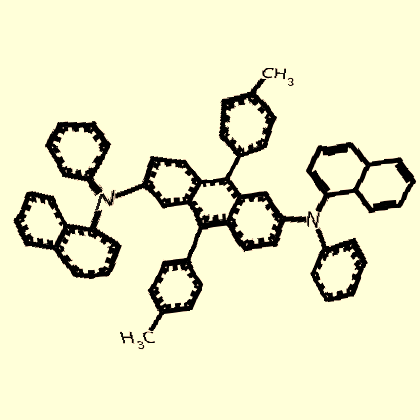 Cc1ccc(-c2c3ccc(N(c4ccccc4)c4cccc5ccccc45)cc3c(-c3ccc(C)cc3)c3ccc(N(C4=CC=CC5C=CC=CC45)c4ccccc4)cc23)cc1